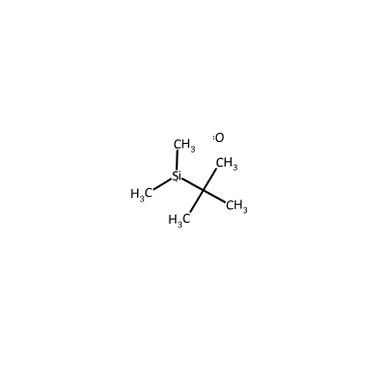 C[Si](C)C(C)(C)C.[O]